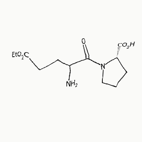 CCOC(=O)CCC(N)C(=O)N1CCC[C@H]1C(=O)O